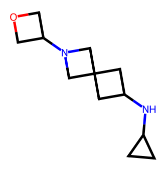 C1CC1NC1CC2(C1)CN(C1COC1)C2